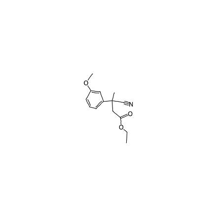 CCOC(=O)CC(C)(C#N)c1cccc(OC)c1